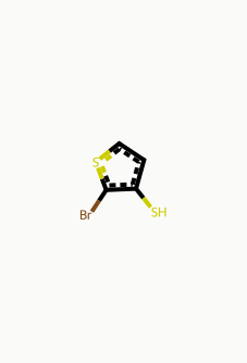 Sc1ccsc1Br